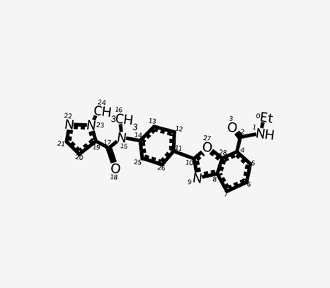 CCNC(=O)c1cccc2nc(-c3ccc(N(C)C(=O)c4ccnn4C)cc3)oc12